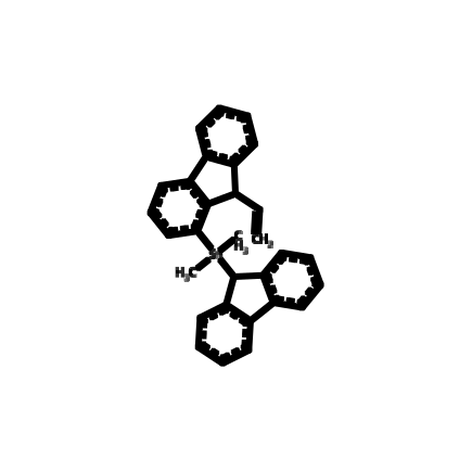 C=CC1c2ccccc2-c2ccc[c]([Sn]([CH3])([CH3])[CH]3c4ccccc4-c4ccccc43)c21